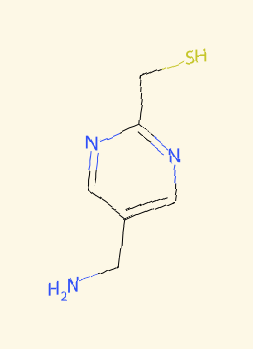 NCc1cnc(CS)nc1